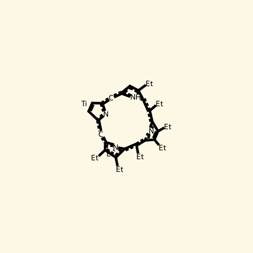 CCC1=C(CC)c2nc1c(CC)c1[nH]c(cc3nc(cc4c(CC)c(CC)c(c2CC)n4CC)C=C3)cc1CC.[Ti]